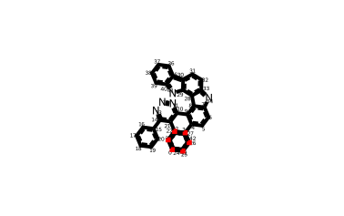 c1ccc(-c2ccc3c(c2-c2nnnc(-c4ccccc4)c2-c2ccccc2)-c2c4c(ccc2=N3)=c2ccccc2=N4)cc1